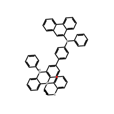 c1ccc(N(c2ccc(-c3ccc4c(c3)[SiH](c3ccccc3)c3ccccc3[Si]43c4ccccc4Sc4ccccc43)cc2)c2cc3ccccc3c3ccccc23)cc1